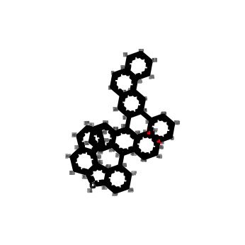 c1ccc(-c2cc3c(ccc4ccccc43)cc2-c2c3ccccc3c(-c3cccc4oc5ccc6ccccc6c5c34)c3ccccc23)cc1